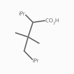 CC(C)CC(C)(C)C(C(=O)O)C(C)C